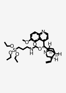 C=C[C@H]1CN2CC[C@H]1C[C@H]2[C@H](OC(=O)NCCC[Si](OCC)(OCC)OCC)c1ccnc2ccc(OC)cc12